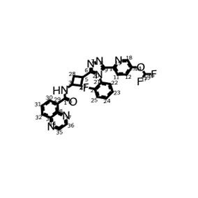 O=C(NC1CC(c2nnc(-c3ccc(OC(F)F)cn3)n2-c2ccccc2F)C1)c1cccc2nccnc12